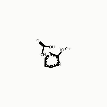 CC(=O)O.Oc1ncccn1.[Cu]